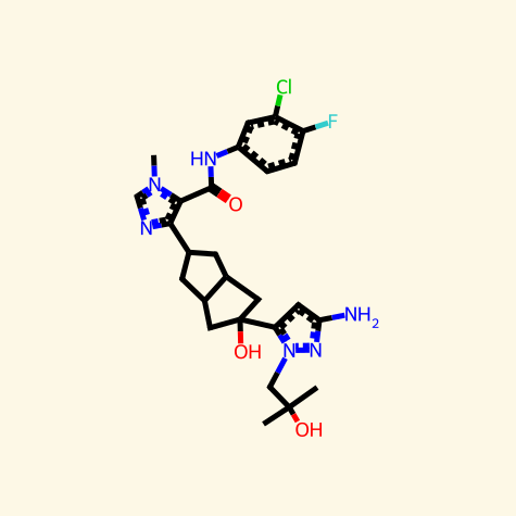 Cn1cnc(C2CC3CC(O)(c4cc(N)nn4CC(C)(C)O)CC3C2)c1C(=O)Nc1ccc(F)c(Cl)c1